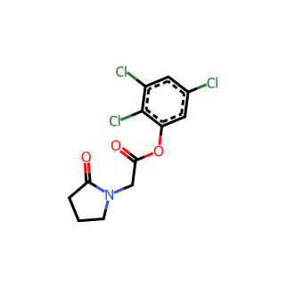 O=C(CN1CCCC1=O)Oc1cc(Cl)cc(Cl)c1Cl